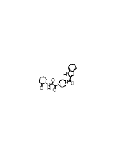 O=C(N[C@H]1CCCCC1=O)C(=O)N1CCN(C(=O)c2cc3ccccc3[nH]2)CC1